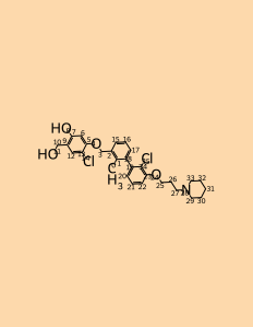 Cc1c(COc2cc(O)c(CO)cc2Cl)cccc1-c1cccc(OCCCN2CCCCC2)c1Cl